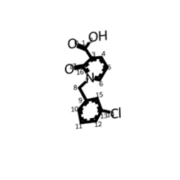 O=C(O)c1cccn(Cc2cccc(Cl)c2)c1=O